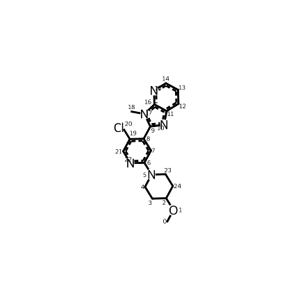 COC1CCN(c2cc(-c3nc4cccnc4n3C)c(Cl)cn2)CC1